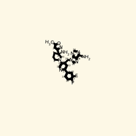 Cc1cc([C@@]2(N)CCCN(c3cnc(-c4ccc(F)c(F)c4)cc3Cn3cnc4c(N)ncnc43)C2)no1